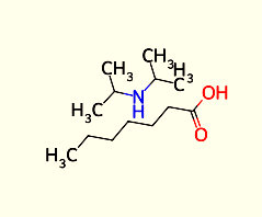 CC(C)NC(C)C.CCCCCCC(=O)O